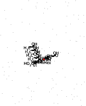 CCCC(=O)O.CCCC(=O)O.CCCC(=O)O.CCCC(=O)O.CCCC(=O)O.CCCC(=O)O.CCCCCCC(CCCCC(CC)(CCCCCC)C(=O)O)C(CCCCCC)(CCCCCC)CCCCCC